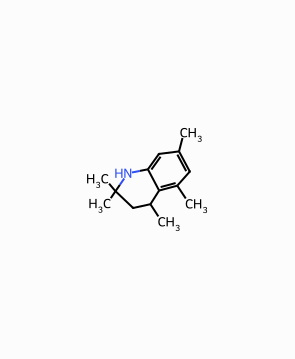 Cc1cc(C)c2c(c1)NC(C)(C)CC2C